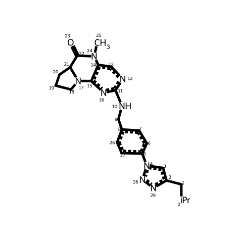 CC(C)Cc1cn(-c2ccc(CNc3ncc4c(n3)N3CCCC3C(=O)N4C)cc2)nn1